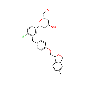 Cc1ccc2c(c1)COC2COc1ccc(Cc2cc(C3CC(O)CC(CO)O3)ccc2Cl)cc1